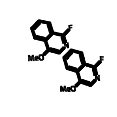 COc1cnc(F)c2ccccc12.COc1cnc(F)c2ccccc12